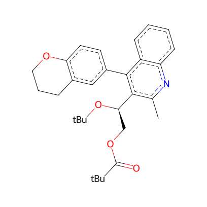 Cc1nc2ccccc2c(-c2ccc3c(c2)CCCO3)c1[C@@H](COC(=O)C(C)(C)C)OC(C)(C)C